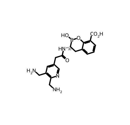 NCc1cc(CC(=O)N[C@H]2Cc3cccc(C(=O)O)c3OB2O)cnc1CN